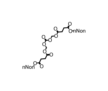 CCCCCCCCCOC(=O)CCC(=O)OCOC(=O)OCOC(=O)CCC(=O)OCCCCCCCCC